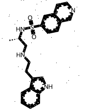 C[C@@H](CNCCc1c[nH]c2ccccc12)NS(=O)(=O)c1ccc2cnccc2c1